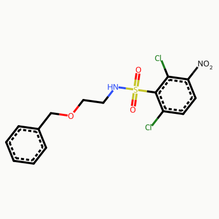 O=[N+]([O-])c1ccc(Cl)c(S(=O)(=O)NCCOCc2ccccc2)c1Cl